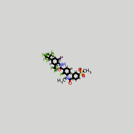 CN(C(=O)c1ccc(S(C)(=O)=O)cc1)c1cccc(C(=O)Nc2c(I)cc(C(F)(C(F)(F)F)C(F)(F)F)cc2C(F)(F)F)c1F